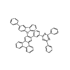 c1ccc(-c2ccc3c(c2)c2ccccc2n3-c2cc3c4ccccc4c4ccccc4c3cc2-c2cccc(-c3nc(-c4ccccc4)nc(-c4ccccc4)n3)c2)cc1